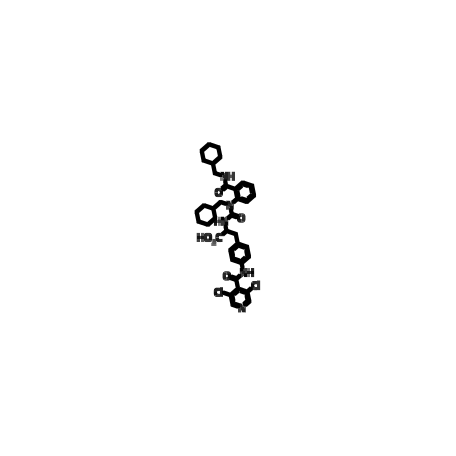 O=C(NCC1CCCCC1)c1ccccc1N(CC1CCCCC1)C(=O)NC(Cc1ccc(NC(=O)c2c(Cl)cncc2Cl)cc1)C(=O)O